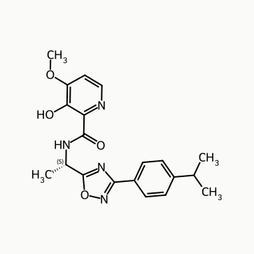 COc1ccnc(C(=O)N[C@@H](C)c2nc(-c3ccc(C(C)C)cc3)no2)c1O